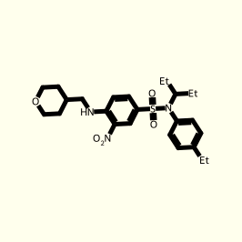 CCc1ccc(N(C(CC)CC)S(=O)(=O)c2ccc(NCC3CCOCC3)c([N+](=O)[O-])c2)cc1